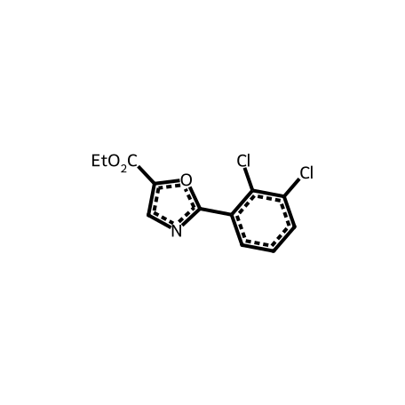 CCOC(=O)c1cnc(-c2cccc(Cl)c2Cl)o1